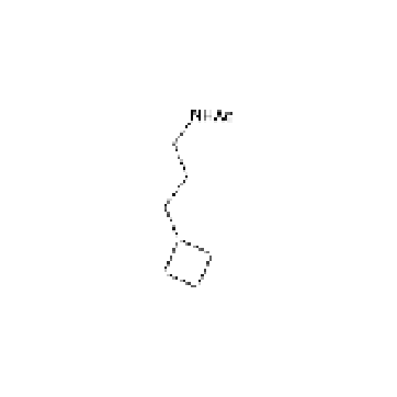 CC(=O)NCCCC1CCC1